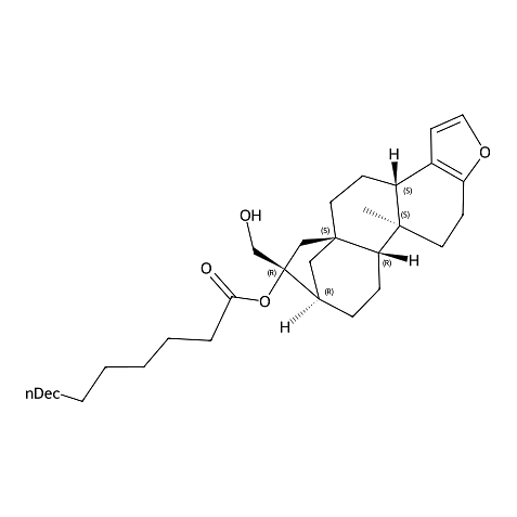 CCCCCCCCCCCCCCCC(=O)O[C@]1(CO)C[C@@]23CC[C@@H]4c5ccoc5CC[C@@]4(C)[C@@H]2CC[C@@H]1C3